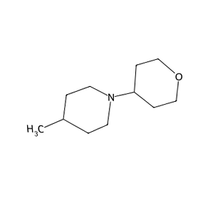 CC1CCN(C2CCOCC2)CC1